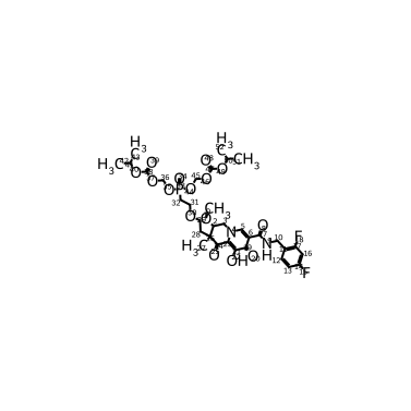 COC1Cn2cc(C(=O)NCc3ccc(F)cc3F)c(=O)c(O)c2C(=O)C1(C)CCOCCP(=O)(OCOC(=O)OC(C)C)OCOC(=O)OC(C)C